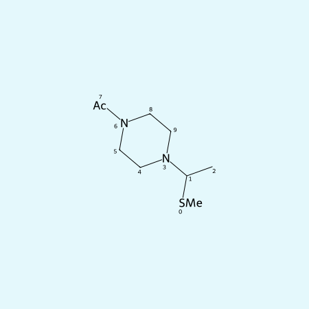 CSC(C)N1CCN(C(C)=O)CC1